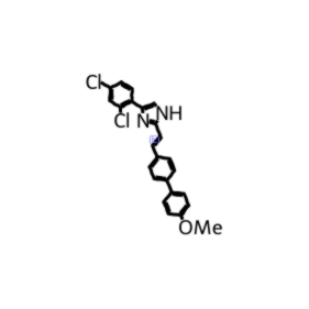 COc1ccc(-c2ccc(/C=C/c3nc(-c4ccc(Cl)cc4Cl)c[nH]3)cc2)cc1